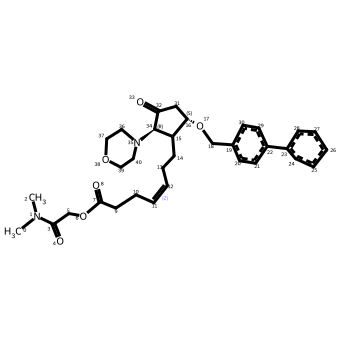 CN(C)C(=O)COC(=O)CC/C=C\CCC1[C@@H](OCc2ccc(-c3ccccc3)cc2)CC(=O)[C@@H]1N1CCOCC1